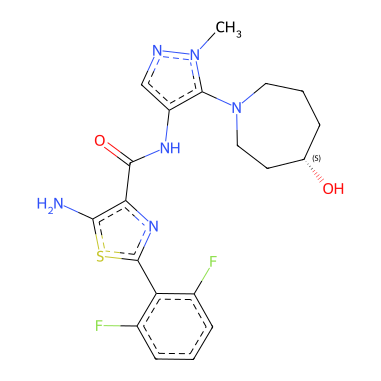 Cn1ncc(NC(=O)c2nc(-c3c(F)cccc3F)sc2N)c1N1CCC[C@H](O)CC1